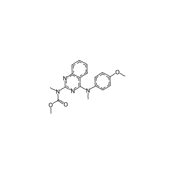 COC(=O)N(C)c1nc(N(C)c2ccc(OC)cc2)c2ccccc2n1